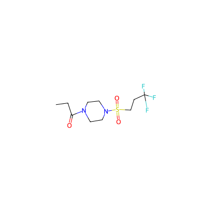 CCC(=O)N1CCN(S(=O)(=O)CCC(F)(F)F)CC1